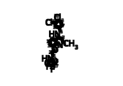 Cc1cc(NCc2ccc(Cl)c(Cl)c2)c2cccc(OCCNS(=O)(=O)C(F)(F)F)c2n1